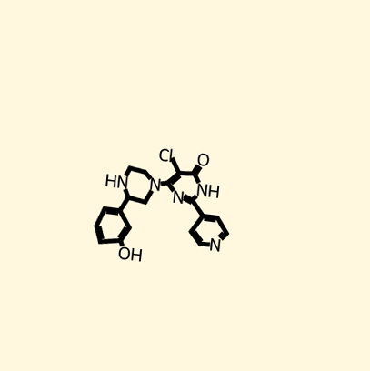 O=c1[nH]c(-c2ccncc2)nc(N2CCNC(c3cccc(O)c3)C2)c1Cl